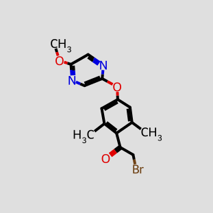 COc1cnc(Oc2cc(C)c(C(=O)CBr)c(C)c2)cn1